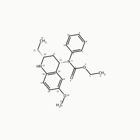 CCOC(=O)N(c1ccccc1)[C@H]1C[C@@H](CC)Nc2ccc(OC)cc21